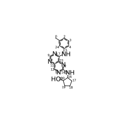 Cc1cccc(Nc2ncnc3cnc(NC4CCCC4O)nc23)c1